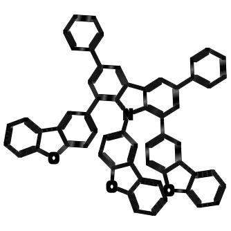 c1ccc(-c2cc(-c3ccc4oc5ccccc5c4c3)c3c(c2)c2cc(-c4ccccc4)cc(-c4ccc5oc6ccccc6c5c4)c2n3-c2ccc3oc4ccccc4c3c2)cc1